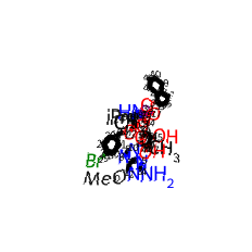 COc1nc(N)nc2c1ncn2C1O[C@H](COP(=O)(N[C@H](C(=O)O[C@@H](C)c2ccc(Br)cc2)C(C)C)Oc2cccc3ccccc23)[C@@H](O)[C@@]1(C)O